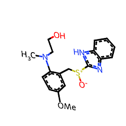 COc1ccc(N(C)CCO)c(C[S+]([O-])c2nc3ccccc3[nH]2)c1